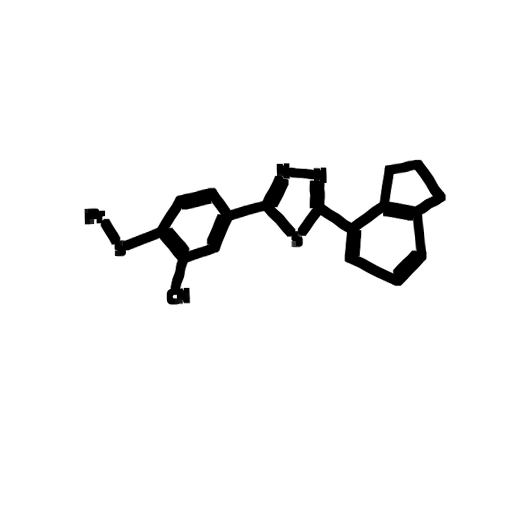 CC(C)Sc1ccc(-c2nnc(-c3cccc4c3CCC4)s2)cc1C#N